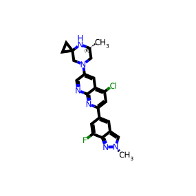 C[C@@H]1CN(c2cnc3nc(-c4cc(F)c5nn(C)cc5c4)cc(Cl)c3c2)CC2(CC2)N1